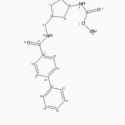 CC(C)(C)OC(=O)NC1CCC(CNC(=O)c2ccc(-c3ccccc3)cc2)C1